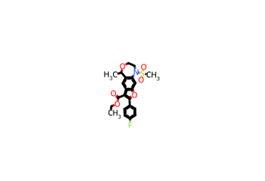 CCOC(=O)c1c(-c2ccc(F)cc2)oc2cc3c(cc12)C(C)OCCN3S(C)(=O)=O